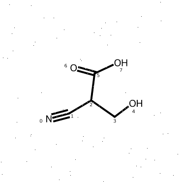 N#CC(CO)C(=O)O